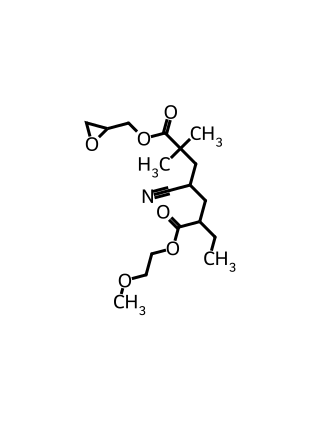 CCC(CC(C#N)CC(C)(C)C(=O)OCC1CO1)C(=O)OCCOC